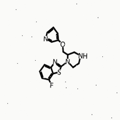 Fc1cccc2nc(N3CCNCC3COc3cccnc3)sc12